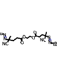 CC(C)(C)/N=N/C(C)(C#N)CCC(=O)OCCOC(=O)CCC(C)(C#N)/N=N/C(C)(C)C